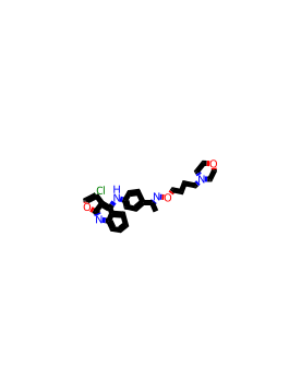 CC(=NOCCCCN1CCOCC1)c1ccc(Nc2c3ccccc3nc3occ(Cl)c23)cc1